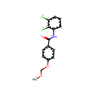 CCCCOCOc1ccc(C(=O)Nc2cccc(Cl)c2Cl)cc1